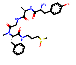 C[C@@H](NC(=O)[C@@H](N)Cc1ccc(O)cc1)C(=O)NCC(=O)N(C)[C@@H](Cc1ccccc1)C(=O)NCCC[S+](C)[O-]